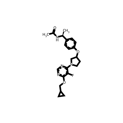 CC(=O)N[C@@H](C)c1ccc(OC2CCN(c3ncnc(OCC4CC4)c3F)C2)cc1